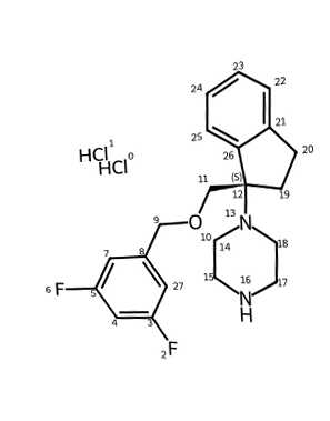 Cl.Cl.Fc1cc(F)cc(COC[C@]2(N3CCNCC3)CCc3ccccc32)c1